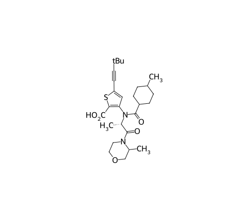 CC1CCC(C(=O)N(c2cc(C#CC(C)(C)C)sc2C(=O)O)[C@@H](C)C(=O)N2CCOCC2C)CC1